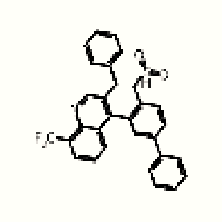 O=[SH](=O)Cc1ccc(-c2ccccc2)cc1-c1c(Cc2ccccc2)cnc2c(C(F)(F)F)cccc12